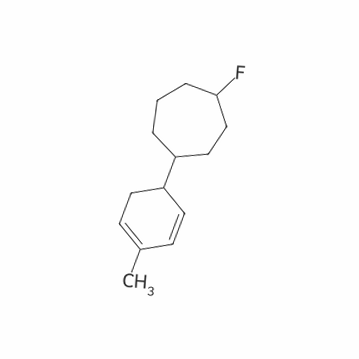 CC1=CCC(C2CCCC(F)CC2)C=C1